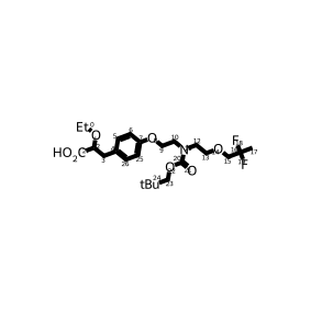 CCOC(Cc1ccc(OCCN(CCOCC(C)(F)F)C(=O)OCC(C)(C)C)cc1)C(=O)O